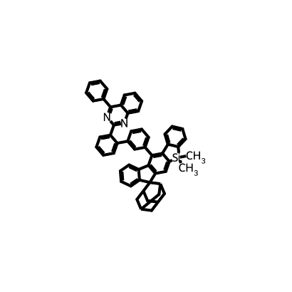 C[Si]1(C)c2ccccc2-c2c1cc1c(c2-c2cccc(-c3ccccc3-c3nc(-c4ccccc4)c4ccccc4n3)c2)-c2ccccc2C12C1CC3CC(C1)CC2C3